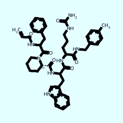 C=CC(=O)NC(Cc1ccccc1)C(=O)N1CCCC[C@H]1C(=O)NC(Cc1c[nH]c2ccccc12)C(=O)NC(CCCNC(N)=O)C(=O)NCc1ccc(C)cc1